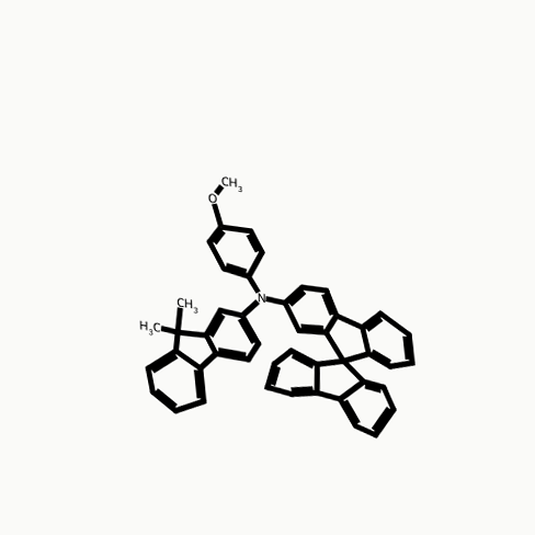 COc1ccc(N(c2ccc3c(c2)C(C)(C)c2ccccc2-3)c2ccc3c(c2)C2(c4ccccc4-c4ccccc42)c2ccccc2-3)cc1